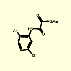 COC(=O)C(=O)Nc1cc(Cl)ccc1C(C)=O